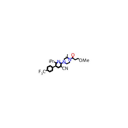 COCCC(=O)N1CCN(c2nc(C(C)C)c(-c3ccc(C(F)(F)F)cc3)cc2C#N)C[C@H]1C